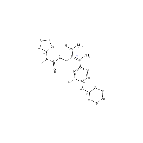 Cc1nc(/C(N)=C(\COC(=O)N(C)C2CCCC2)N(C)N)ccc1OC1CCCCC1